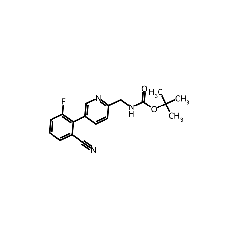 CC(C)(C)OC(=O)NCc1ccc(-c2c(F)cccc2C#N)cn1